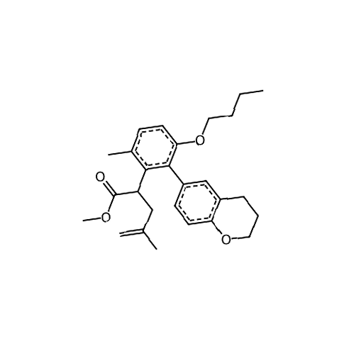 C=C(C)CC(C(=O)OC)c1c(C)ccc(OCCCC)c1-c1ccc2c(c1)CCCO2